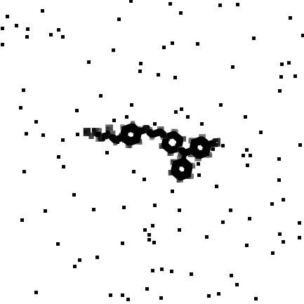 NONCc1ccc(OCCN2CCN([C@H](c3ccccc3)c3ccc(Cl)cc3)CC2)cc1